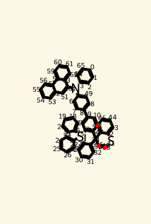 c1ccc(N(c2ccc(-c3ccc4c(c3)[Si](c3ccccc3)(c3ccccc3)c3ccccc3C43c4ccccc4Sc4ccccc43)cc2)c2cc3ccccc3c3ccccc23)cc1